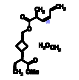 C=C/C=C\C(=C)C(=O)OC=C1CC(=C(C=C)C(=O)OC)C1.O.O